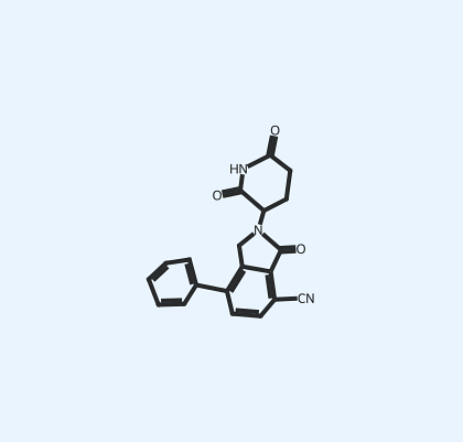 N#Cc1ccc(-c2ccccc2)c2c1C(=O)N(C1CCC(=O)NC1=O)C2